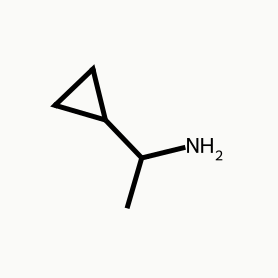 C[C](N)C1CC1